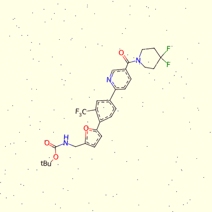 CC(C)(C)OC(=O)NCc1ccc(-c2ccc(-c3ccc(C(=O)N4CCC(F)(F)CC4)cn3)cc2C(F)(F)F)o1